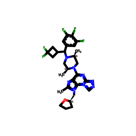 Cc1nc2c(N3C[C@@H](C)N(C(c4cc(F)c(F)c(F)c4)C4CC(F)(F)C4)C[C@@H]3C)nc3nncn3c2n1C[C@@H]1CCCO1